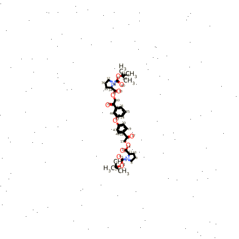 CC(C)(C)OC(=O)N1CCCC1C(=O)OCC(=O)c1ccc(Oc2cccc(C(=O)COC(=O)C3CCCN3C(=O)OC(C)(C)C)c2)cc1